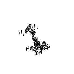 COc1cc2c(cc1OC)CN(CCc1ccc(-n3nnc(-c4cc(CO)c(CO)cc4NC(=O)c4cc(=O)c5ccccc5o4)n3)cc1)CC2